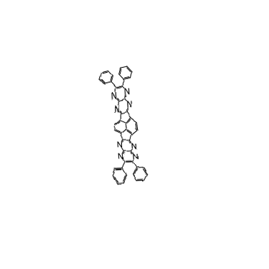 c1ccc(-c2nc3nc4c(nc3nc2-c2ccccc2)-c2ccc3c5c(ccc-4c25)-c2nc4nc(-c5ccccc5)c(-c5ccccc5)nc4nc2-3)cc1